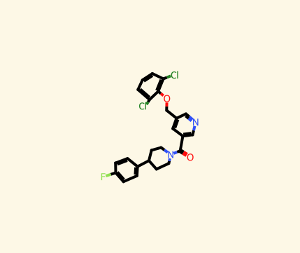 O=C(c1cncc(COc2c(Cl)cccc2Cl)c1)N1CCC(c2ccc(F)cc2)CC1